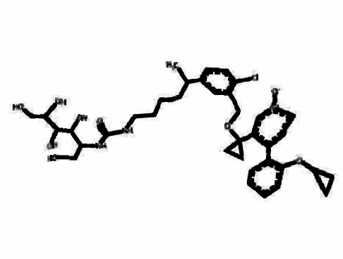 CC(CCCCNC(=O)NC(CO)C(O)C(O)C(O)CO)c1ccc(Cl)c(COC2(c3c[n+]([O-])ccc3-c3ccccc3OC3CC3)CC2)c1